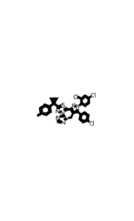 Cc1ccc(C2(c3nnc(-c4nn(-c5ccc(Cl)cc5Cl)c(-c5ccc(Cl)cc5)c4Cn4cncn4)s3)CC2)cc1